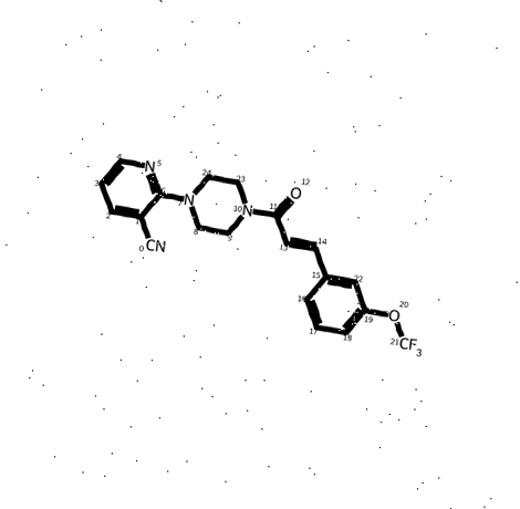 N#Cc1cccnc1N1CCN(C(=O)/C=C/c2cccc(OC(F)(F)F)c2)CC1